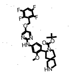 COc1cc(Nc2ncc(OCc3c(F)c(F)cc(F)c3F)cn2)ccc1C1CC2(CCNCC2)CCN1C(=O)OC(C)(C)C